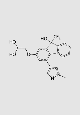 Cn1cc(-c2cc(OCC(O)O)cc3c2-c2ccccc2C3(O)C(F)(F)F)cn1